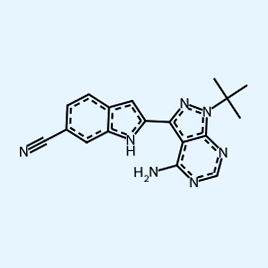 CC(C)(C)n1nc(-c2cc3ccc(C#N)cc3[nH]2)c2c(N)ncnc21